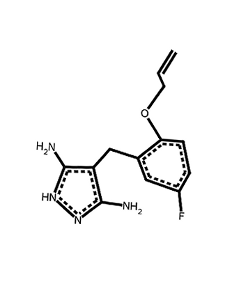 C=CCOc1ccc(F)cc1Cc1c(N)n[nH]c1N